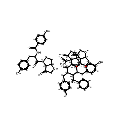 CC(C)(C)c1ccc(C(=O)NC(Cc2ccc(Cl)cc2)C(=O)N2CCC3OCC(=O)C32)cc1.NC(=O)C12C(=O)COC1CCN2C(=O)C(Cc1ccc(F)cc1)N(C(=O)c1ccccc1)C(Cc1ccc(Cl)cc1)C(=O)N1CCC2OCC(=O)C21